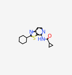 O=C(Nc1nccc2nc(C3CCCCC3)sc12)C1CC1